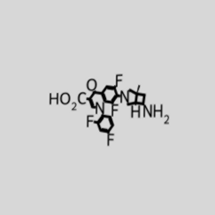 C[C@@]12C[C@H](N)[C@@H]1CN(c1c(F)cc3c(=O)c(C(=O)O)cn(-c4ccc(F)cc4F)c3c1F)C2